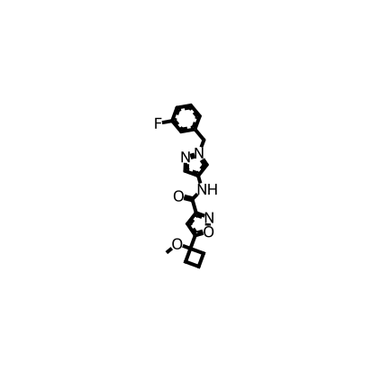 COC1(c2cc(C(=O)Nc3cnn(Cc4cccc(F)c4)c3)no2)CCC1